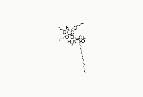 CCCCCCCCCCCCCC[C@H]1OC(C)(C)O[C@H]1[C@@H](N)CO[C@H]1OC(COCCCC)[C@@H](F)C(OCCCC)C1OCCCC